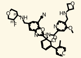 COc1cc(C(=O)NC2(c3nc4cc(CN[C@@H]5CCOC[C@@H]5F)cc(C#N)c4o3)C=CC=C(c3ccccc3C)C2Cl)ncc1CNC1COC1